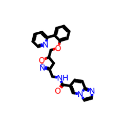 O=C(NCC1=NOC(COc2ccccc2-c2ccccn2)C1)c1ccc2nccn2c1